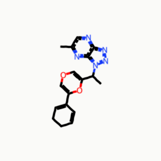 Cc1cnc2nnn(C(C)C3=COC=C(C4=CCCC=C4)O3)c2n1